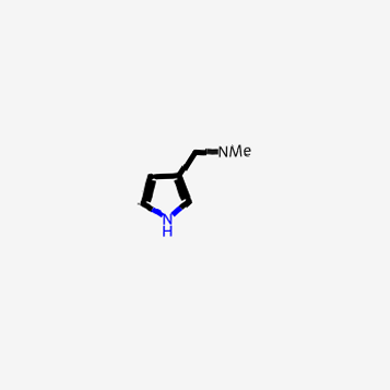 CNCc1c[c][nH]c1